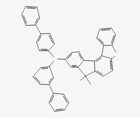 CCC1(C)c2cc(N(c3ccc(-c4ccccc4)cc3)c3cccc(-c4ccccc4)c3)ccc2-c2c1ccc1oc3ccccc3c21